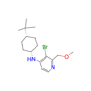 COCc1nccc(N[C@H]2CC[C@@H](C(C)(C)C)CC2)c1Br